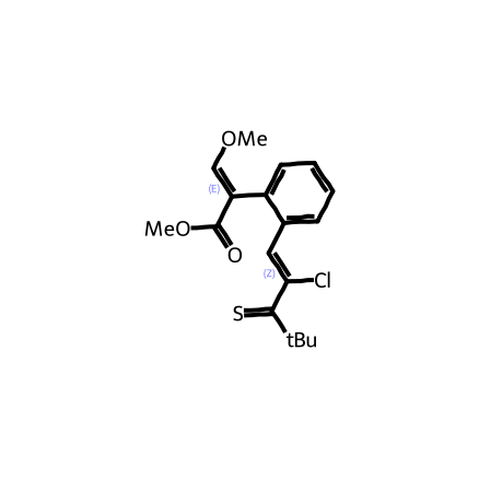 CO/C=C(/C(=O)OC)c1ccccc1/C=C(\Cl)C(=S)C(C)(C)C